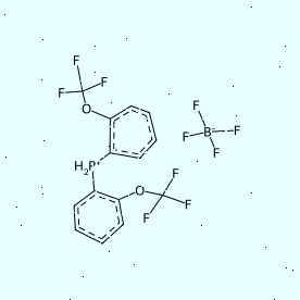 FC(F)(F)Oc1ccccc1[PH2+]c1ccccc1OC(F)(F)F.F[B-](F)(F)F